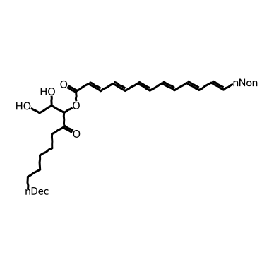 CCCCCCCCCC=CC=CC=CC=CC=CC=CC(=O)OC(C(=O)CCCCCCCCCCCCCCC)C(O)CO